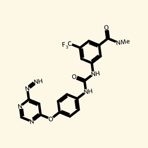 CNC(=O)c1cc(NC(=O)Nc2ccc(Oc3cc(N=N)ncn3)cc2)cc(C(F)(F)F)c1